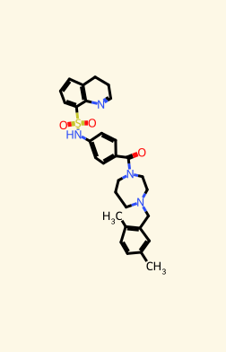 Cc1ccc(C)c(CN2CCCN(C(=O)c3ccc(NS(=O)(=O)c4cccc5c4N=CCC5)cc3)CC2)c1